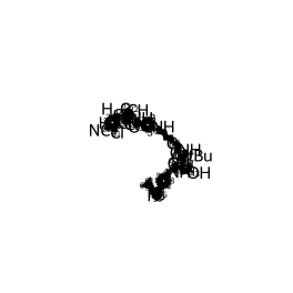 CC(C)(C)C(NC(=O)COCCCCNc1ccc(C(=O)N[C@H]2C(C)(C)[C@H](Oc3ccc(C#N)c(Cl)c3)C2(C)C)cc1)C(=O)N1C[C@H](O)C[C@H]1C(=O)NCc1ccc(-c2scnc2C2CC2)cc1